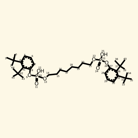 CC(C)(C)c1cccc(OP(=O)(O)OCCCCCCCCOP(=O)(O)Oc2cccc(C(C)(C)C)c2C(C)(C)C)c1C(C)(C)C